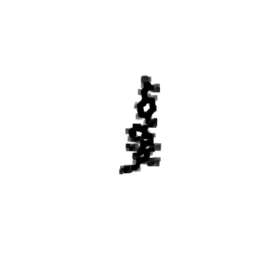 N#C[C@@]1(c2ccc3c(NC4CCC(CC(=O)Cl)CC4)ncnn23)O[C@H](CO)[C@@H](O)[C@H]1O